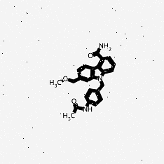 COCc1c[c]c2c3c(C(N)=O)cccc3n(Cc3ccc(NC(C)=O)cc3)c2c1